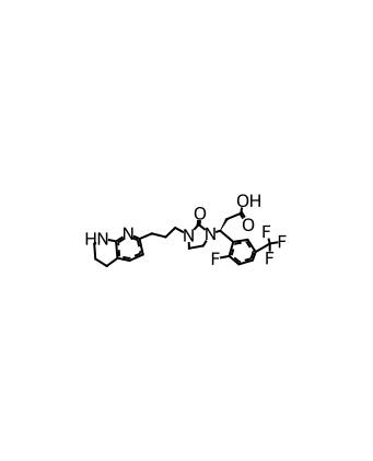 O=C(O)C[C@@H](c1cc(C(F)(F)F)ccc1F)N1CCN(CCCc2ccc3c(n2)NCCC3)C1=O